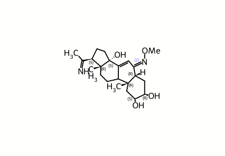 CO/N=C1\C=C2C(CC[C@]3(C)[C@@H](C(C)=N)CC[C@@]23O)[C@@]2(C)C[C@H](O)[C@H](O)C[C@@H]12